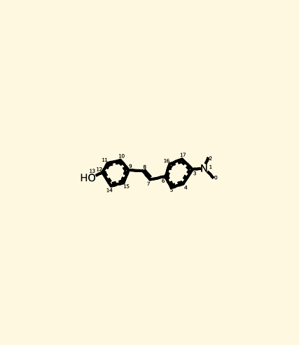 CN(C)c1ccc(C=Cc2ccc(O)cc2)cc1